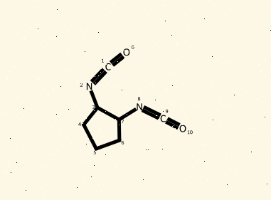 O=C=NC1CCCC1N=C=O